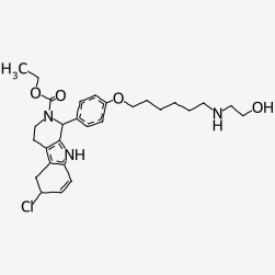 CCOC(=O)N1CCc2c([nH]c3c2CC(Cl)C=C3)C1c1ccc(OCCCCCCNCCO)cc1